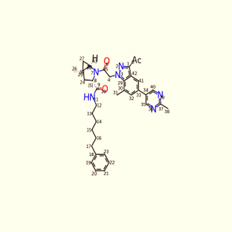 CC(=O)c1nn(CC(=O)N2[C@H](C(=O)NCCCCCCc3ccccc3)C[C@@]3(C)C[C@@H]23)c2c(C)cc(-c3cnc(C)nc3)cc12